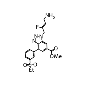 CCS(=O)(=O)c1cccc(-c2cc(C(=O)OC)cc3c2nnn3C/C(F)=C/CN)c1